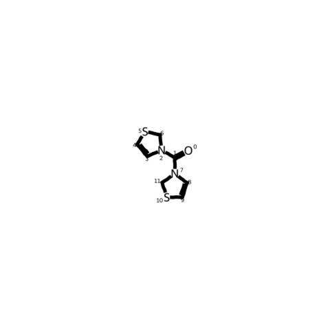 O=C(N1C=CSC1)N1C=CSC1